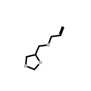 C=CCOCC1COCO1